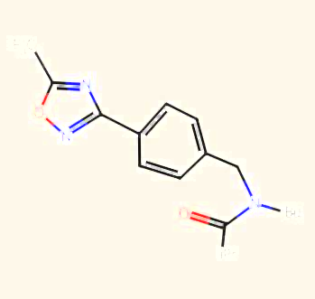 CCC(C)N(Cc1ccc(-c2noc(C(F)(F)F)n2)cc1)C(=O)C(C)C